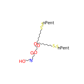 CCCCCSCSCCCCCCCCC1(CCCCCCCCSCSCCCCC)OCC(CCOC(=O)CCCN(C)CCCO)O1